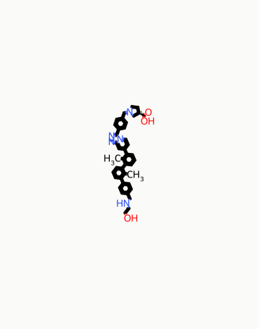 Cc1c(-c2ccc(CNCCO)cc2)cccc1-c1cccc(-c2ccn3c(-c4ccc(CN5CC[C@@H](C(=O)O)C5)cc4)nnc3c2)c1C